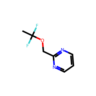 CC(F)(F)OCc1ncccn1